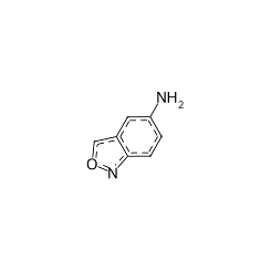 Nc1ccc2nocc2c1